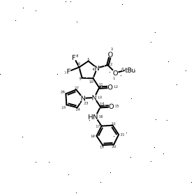 CC(C)(C)OC(=O)N1CC(F)(F)CC1C(=O)N(C(=O)Nc1ccccc1)n1cccc1